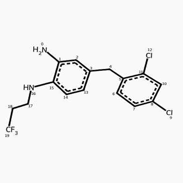 Nc1cc(Cc2ccc(Cl)cc2Cl)ccc1NCCC(F)(F)F